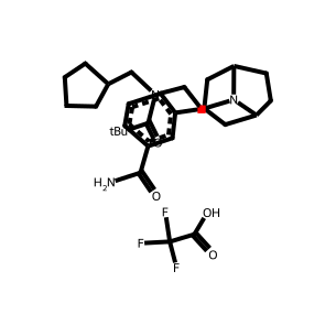 CC(C)(C)C(=O)N(CCN1C2CCC1CC(c1cccc(C(N)=O)c1)C2)CC1CCCC1.O=C(O)C(F)(F)F